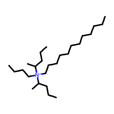 CCCCCCCCCCCC[N+](CCCC)(C(C)CCC)C(C)CCC